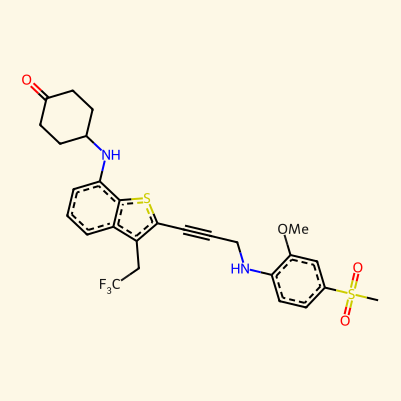 COc1cc(S(C)(=O)=O)ccc1NCC#Cc1sc2c(NC3CCC(=O)CC3)cccc2c1CC(F)(F)F